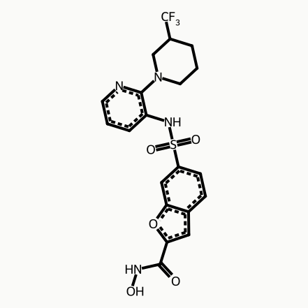 O=C(NO)c1cc2ccc(S(=O)(=O)Nc3cccnc3N3CCCC(C(F)(F)F)C3)cc2o1